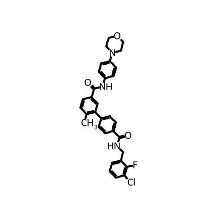 Cc1ccc(C(=O)Nc2ccc(N3CCOCC3)cc2)cc1-c1ccc(C(=O)NCc2cccc(Cl)c2F)cc1